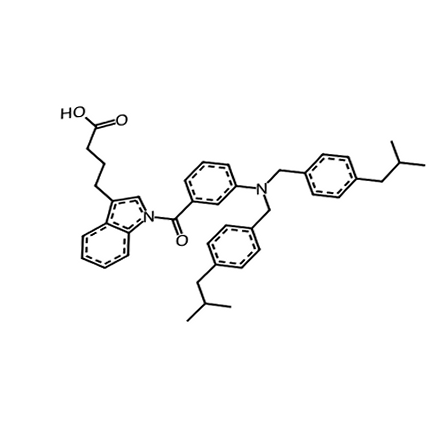 CC(C)Cc1ccc(CN(Cc2ccc(CC(C)C)cc2)c2cccc(C(=O)n3cc(CCCC(=O)O)c4ccccc43)c2)cc1